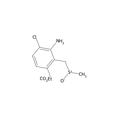 CCOC(=O)c1ccc(Cl)c(N)c1C[S+](C)[O-]